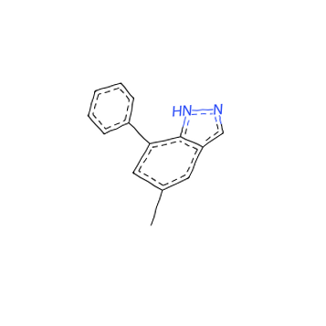 Cc1cc(-c2ccccc2)c2[nH]ncc2c1